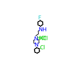 Cl.Cl.Fc1ccc(NCCCN2CCN(c3ccccc3Cl)CC2)cc1